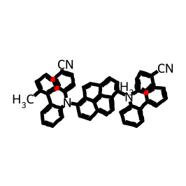 Cc1ccccc1-c1ccccc1N(c1ccc(C#N)cc1)c1ccc2ccc3c(N(c4ccc(C#N)cc4)c4ccccc4-c4ccccc4C)ccc4ccc1c2c43